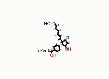 CCCCCC(O)c1ccc([C@@H]2[C@@H](CC=CCCCC(=O)O)[C@@H](Cl)C[C@H]2O)cc1